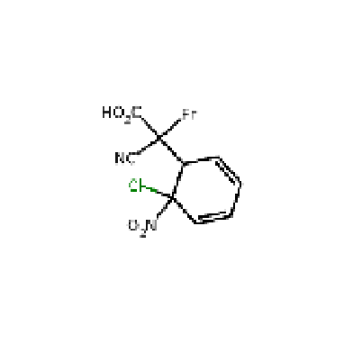 CCC(C#N)(C(=O)O)C1C=CC=CC1(Cl)[N+](=O)[O-]